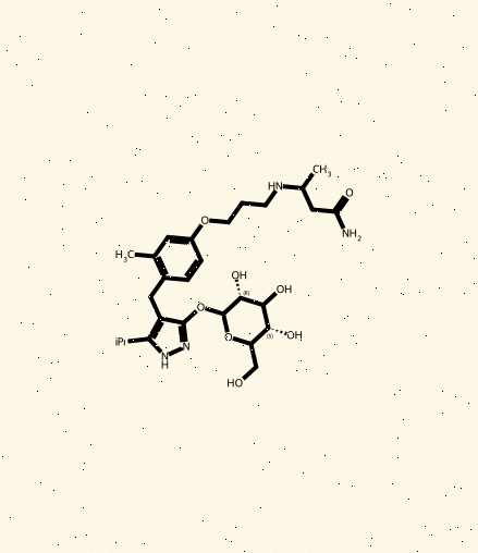 Cc1cc(OCCCNC(C)CC(N)=O)ccc1Cc1c(OC2OC(CO)[C@@H](O)C(O)[C@H]2O)n[nH]c1C(C)C